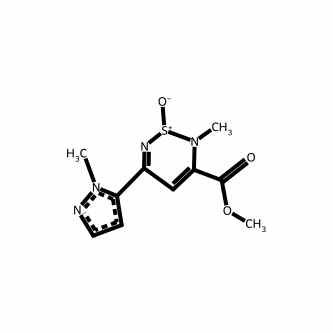 COC(=O)C1=CC(c2ccnn2C)=N[S+]([O-])N1C